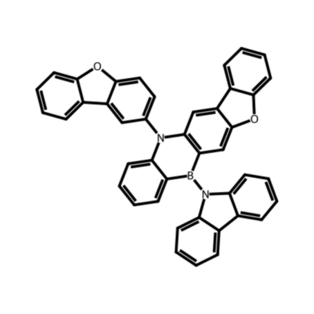 c1ccc2c(c1)B(n1c3ccccc3c3ccccc31)c1cc3oc4ccccc4c3cc1N2c1ccc2oc3ccccc3c2c1